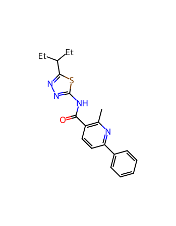 CCC(CC)c1nnc(NC(=O)c2ccc(-c3ccccc3)nc2C)s1